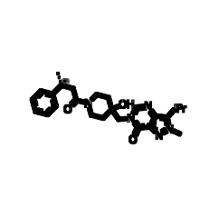 CC(C)c1c2ncn(CC3(O)CCN(C(=O)C[C@@H](C)c4ccccc4)CC3)c(=O)c2nn1C